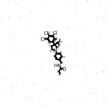 CCC(=O)NCc1ccc(N2CCC(c3cc(Cl)c(Cl)c(Cl)c3)(C(F)(F)F)C2)cc1